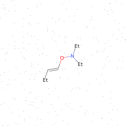 CCC=CON(CC)CC